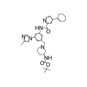 Cc1cn(-c2cc(CN3CCC[C@H](NC(=O)OC(C)(C)C)C3)cc(NC(=O)c3cc(C4=CCCCC4)ccn3)c2)cn1